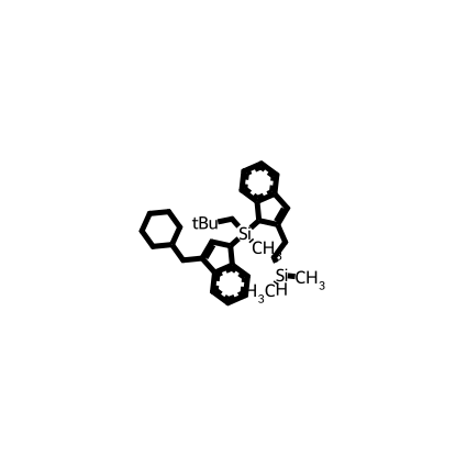 C[SiH](C)CCC1=Cc2ccccc2C1[Si](C)(CC(C)(C)C)C1C=C(CC2CCCCC2)c2ccccc21